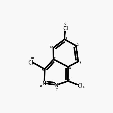 Clc1ccc2c(Cl)nnc(Cl)c2c1